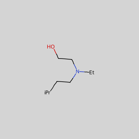 CCN(CCO)CCC(C)C